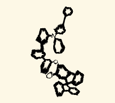 c1ccc(-c2ccc(N(c3ccccc3)c3cccc(-c4cccc(-c5ccc6c(c5)Oc5cc7c(cc5O6)C5(c6ccccc6-c6ccccc65)c5ccccc5-7)c4)c3)cc2)cc1